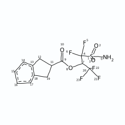 NS(=O)(=O)C(F)(F)C(OC(=O)C1Cc2ccccc2C1)C(F)(F)F